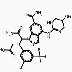 NC(=O)c1cc(NC2=NCC(O)CN2)c2cnn(C(C(N)=O)[C@@H](CC(=O)O)c3cc(Cl)cc(C(F)(F)F)c3)c2c1